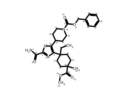 CCC1(c2nc(C(N)=O)sc2C2CCN(C(=O)OCc3ccccc3)CC2)CCC(C)(C(=O)OC)CC1